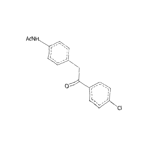 CC(=O)Nc1ccc(CC(=O)c2ccc(Cl)cc2)cc1